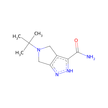 CC(C)(C)N1Cc2n[nH]c(C(N)=O)c2C1